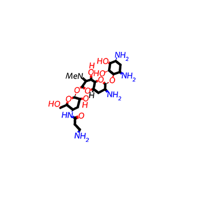 CNC1C(O[C@H]2OC(CO)[C@@H](NC(=O)CCN)CC2O)O[C@H]2CC(N)[C@@H](O[C@@H]3C(N)C[C@@H](N)C(O)[C@H]3O)OC2C1O